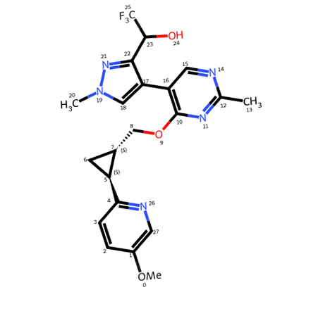 COc1ccc([C@H]2C[C@@H]2COc2nc(C)ncc2-c2cn(C)nc2C(O)C(F)(F)F)nc1